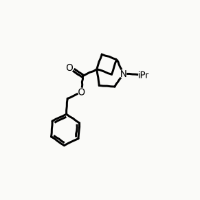 CC(C)N1CCC2(C(=O)OCc3ccccc3)CC1C2